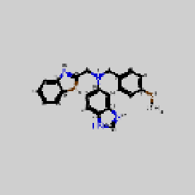 CSc1ccc(CN(Cc2nc3ccccc3s2)c2ccc3[nH]cnc3c2)cc1